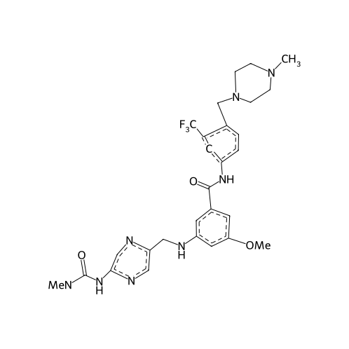 CNC(=O)Nc1cnc(CNc2cc(OC)cc(C(=O)Nc3ccc(CN4CCN(C)CC4)c(C(F)(F)F)c3)c2)cn1